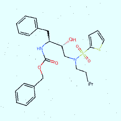 CC(C)CCN(C[C@@H](O)[C@H](Cc1ccccc1)NC(=O)OCc1ccccc1)S(=O)(=O)c1cccs1